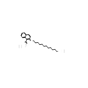 CCCCCCCCCCCCCOc1ccc2ccccc2c1C(=O)OC